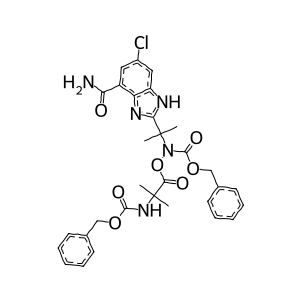 CC(C)(NC(=O)OCc1ccccc1)C(=O)ON(C(=O)OCc1ccccc1)C(C)(C)c1nc2c(C(N)=O)cc(Cl)cc2[nH]1